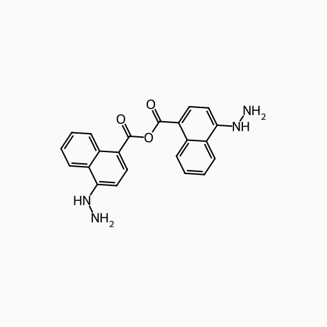 NNc1ccc(C(=O)OC(=O)c2ccc(NN)c3ccccc23)c2ccccc12